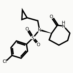 O=C1NCCCC[C@H]1N(CC1CC1)S(=O)(=O)c1ccc(Cl)cc1